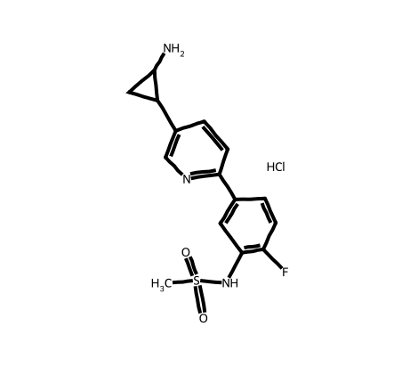 CS(=O)(=O)Nc1cc(-c2ccc(C3CC3N)cn2)ccc1F.Cl